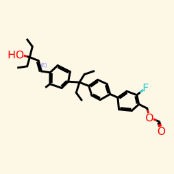 CCC(O)(/C=C/c1ccc(C(CC)(CC)c2ccc(-c3ccc(COC=O)c(F)c3)cc2)cc1C)CC